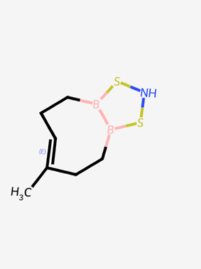 C/C1=C\CCB2SNSB2CC1